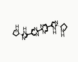 c1nc(-c2ncc(-c3cnc([C@@H]4CCCN4)[nH]3)cn2)ncc1-c1cnc([C@@H]2CCCN2)[nH]1